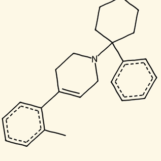 Cc1ccccc1C1=CCN(C2(c3ccccc3)CCCCC2)CC1